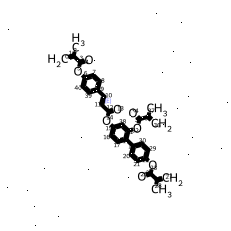 C=C(C)C(=O)Oc1ccc(/C=C/C(=O)Oc2ccc(-c3ccc(OC(=O)C(=C)C)cc3)c(OC(=O)C(=C)C)c2)cc1